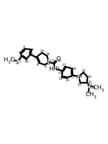 CSc1cccc(C2=CCN(C(=O)Nc3ccc(N4CCC(N(C)C)C4)cc3)CC2)c1